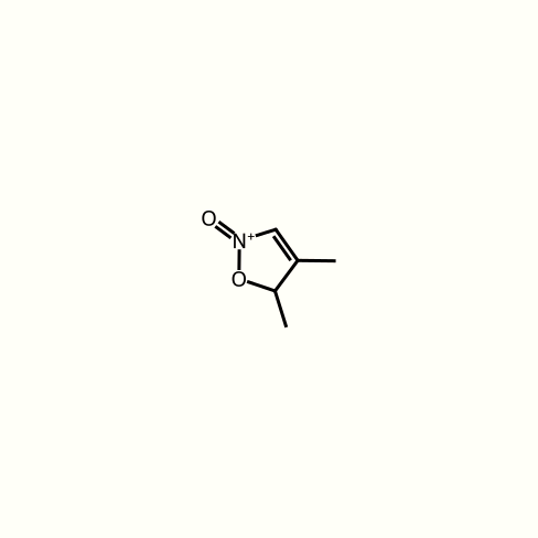 CC1=C[N+](=O)OC1C